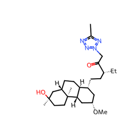 CC[C@H](CC[C@@H]1C[C@H](OC)C[C@H]2[C@H]1CC[C@H]1C[C@](C)(O)CC[C@@]12C)C(=O)Cn1nnc(C)n1